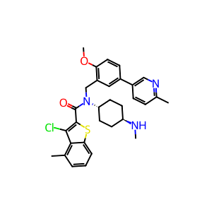 CN[C@H]1CC[C@H](N(Cc2cc(-c3ccc(C)nc3)ccc2OC)C(=O)c2sc3cccc(C)c3c2Cl)CC1